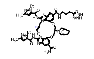 CCn1nc(C)cc1C(=O)Nc1nc2cc(C(N)=O)cc3c2n1C/C=C/Cn1c(NC(=O)c2cc(C)nn2CC)nc2cc(C(=O)NCCCC4=NNNN4)cc(c21)OCC(N1CC2CCC(C1)O2)CO3